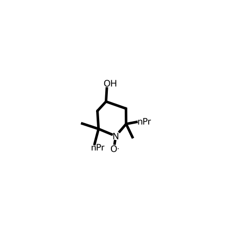 CCCC1(C)CC(O)CC(C)(CCC)N1[O]